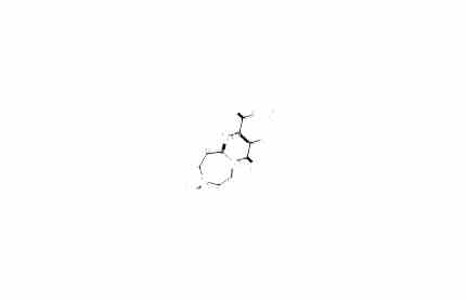 COC(=O)c1nc2n(c(=O)c1O)CCN(C(C)=O)CC2